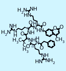 Cc1cc(=O)oc2cc(NC(=O)[C@H](CCCNC(=N)N)NC(=O)[C@H](CCCNC(=N)N)NC(=O)[C@@H](NC(=O)[C@H](CCCNC(=N)N)NC(=O)Cc3ccccc3)C(C)C)ccc12